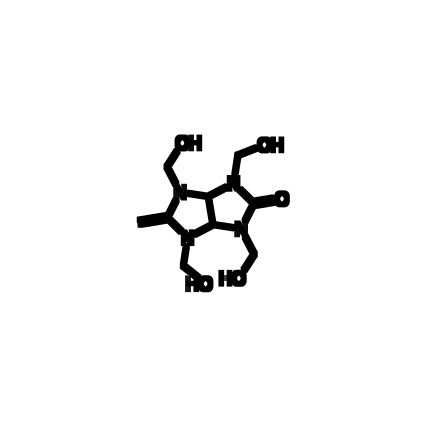 C=C1N(CO)C2C(N1CO)N(CO)C(=O)N2CO